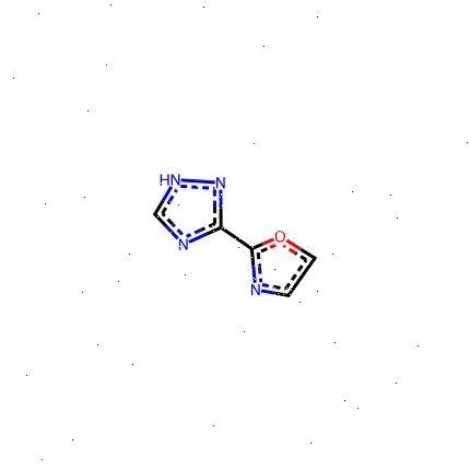 c1coc(-c2nc[nH]n2)n1